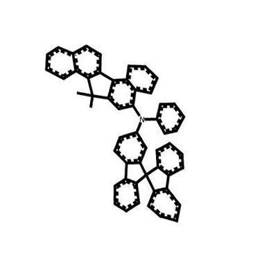 CC1(C)c2cc(N(c3ccccc3)c3ccc4c(c3)C3(c5ccccc5-c5ccccc53)c3ccccc3-4)c3ccccc3c2-c2ccc3ccccc3c21